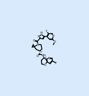 COc1cc(-c2cc(C(=O)N3CC[C@H](C(=O)N[C@@H]4CCOc5cc(F)cnc54)CC34CC4)n[nH]2)c(F)cn1